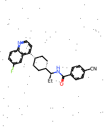 CC[C@H](NC(=O)c1ccc(C#N)cc1)[C@H]1CC[C@@H](c2ccnc3ccc(F)cc32)CC1